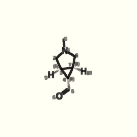 CN1C[C@@H]2[C@@H](C=O)[C@@H]2C1